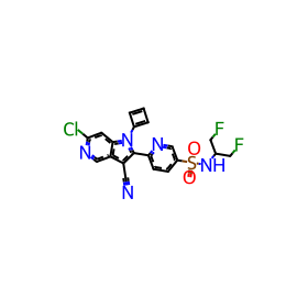 N#Cc1c(-c2ccc(S(=O)(=O)NC(CF)CF)cn2)n(C2=CC=C2)c2cc(Cl)ncc12